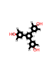 Cc1cc(-c2cc(-c3cc(C)c(O)c(C)c3)cc(-c3cc(C)c(O)c(C)c3)c2)cc(C)c1O